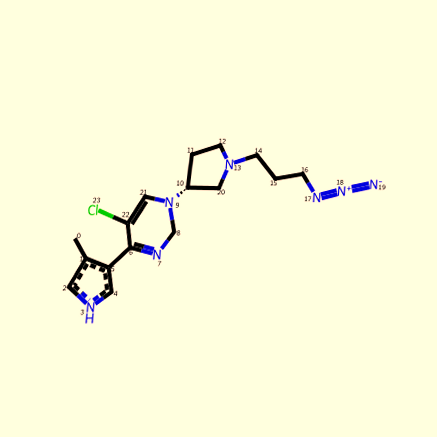 Cc1c[nH]cc1C1=NCN([C@@H]2CCN(CCCN=[N+]=[N-])C2)C=C1Cl